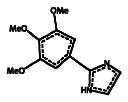 COc1cc(-c2ncc[nH]2)cc(OC)c1OC